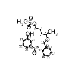 CC(CCCOS(C)(=O)=O)OCc1ccccc1.O=Cc1cccc(O)c1